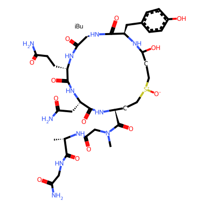 CC[C@H](C)[C@@H]1NC(=O)[C@@H](Cc2ccc(O)cc2)NC(O)CC[S+]([O-])CC[C@@H](C(=O)N(C)CC(=O)N[C@@H](C)C(=O)NCC(N)=O)NC(=O)[C@H](CC(N)=O)NC(=O)[C@H](CCC(N)=O)NC1=O